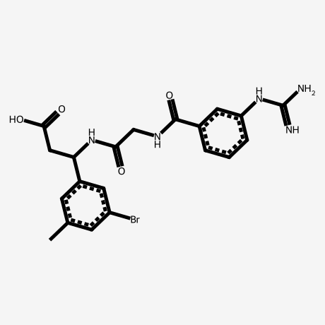 Cc1cc(Br)cc(C(CC(=O)O)NC(=O)CNC(=O)c2cccc(NC(=N)N)c2)c1